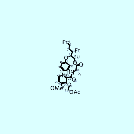 CC[C@@H](CCC(C)C)[C@H](Oc1ccccc1)[C@H](C)OC(=O)[C@H](C)NC(=O)c1nccc(OC)c1OCOC(C)=O